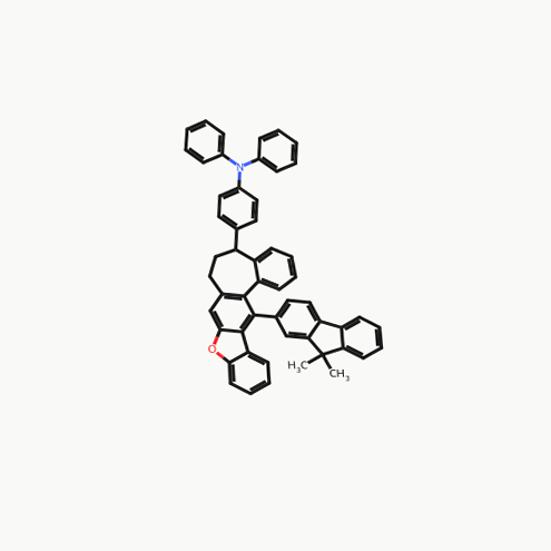 CC1(C)c2ccccc2-c2ccc(-c3c4c(cc5oc6ccccc6c35)CCC(c3ccc(N(c5ccccc5)c5ccccc5)cc3)c3ccccc3-4)cc21